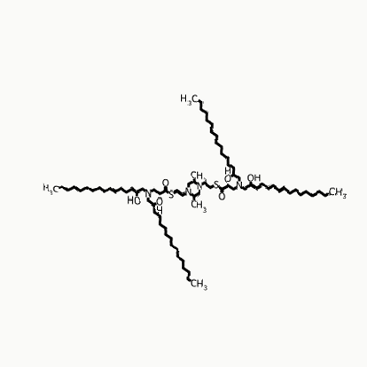 CCCCCCCCCCCCCCC(O)CN(CCC(=O)SCCN1CC(C)N(CCSC(=O)CCN(CC(O)CCCCCCCCCCCCCC)CC(O)CCCCCCCCCCCCCC)CC1C)CC(O)CCCCCCCCCCCCCC